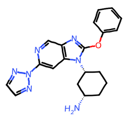 N[C@H]1CCC[C@@H](n2c(Oc3ccccc3)nc3cnc(-n4nccn4)cc32)C1